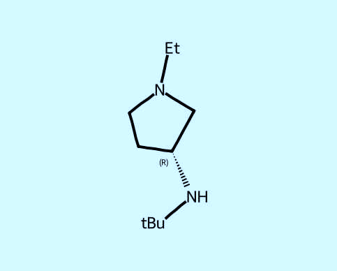 CCN1CC[C@@H](NC(C)(C)C)C1